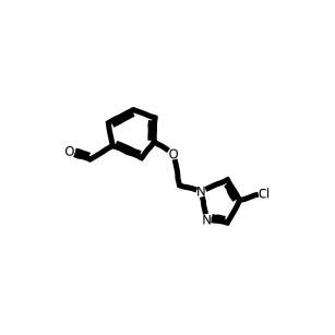 O=Cc1cccc(OCn2cc(Cl)cn2)c1